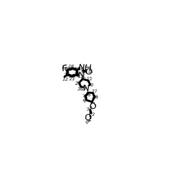 COCCO[C@H]1CC[C@H](N2CCC(n3c(=O)[nH]c4cc(F)c(C)cc43)CC2)CC1